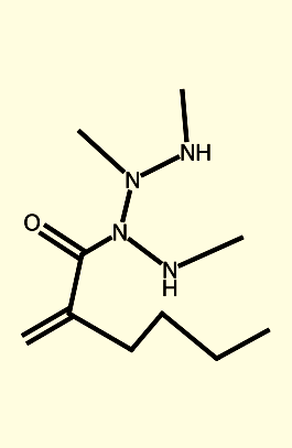 C=C(CCCC)C(=O)N(NC)N(C)NC